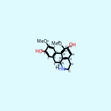 COc1cc2c(cc1O)C[C@@H]1NCCc3cc(O)c(OC)c-2c31